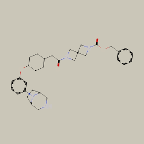 O=C(CC1CCC(Oc2cccc(N3C4CCC3CNC4)c2)CC1)N1CC2(C1)CN(C(=O)OCc1ccccc1)C2